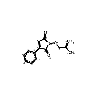 C=C(C)CON1C(=O)C=C(c2ccccc2)C1=O